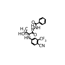 C[C@H](O)[C@@H](Nc1ccc(C#N)c(C(F)(F)F)c1)C(=O)NNC(=O)c1ccccc1